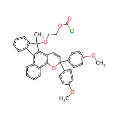 COc1ccc(C2(c3ccc(OC)cc3)C=Cc3c4c(c5ccccc5c3O2)-c2ccccc2C4(C)OCCOC(=O)Cl)cc1